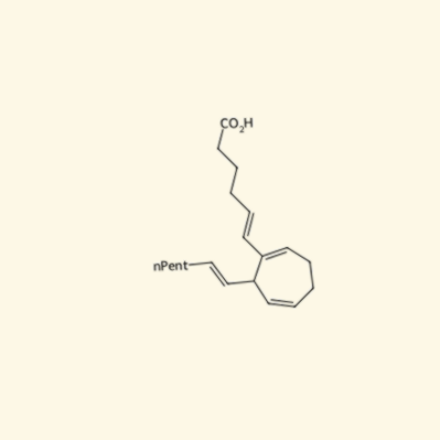 CCCCCC=CC1C=CCCC=C1C=CCCCC(=O)O